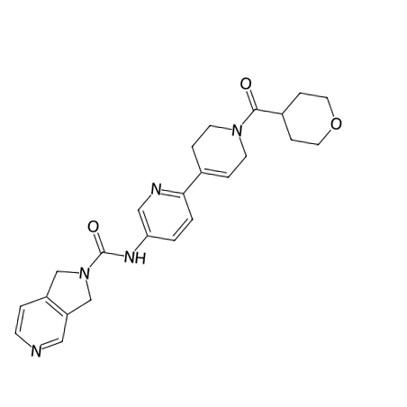 O=C(Nc1ccc(C2=CCN(C(=O)C3CCOCC3)CC2)nc1)N1Cc2ccncc2C1